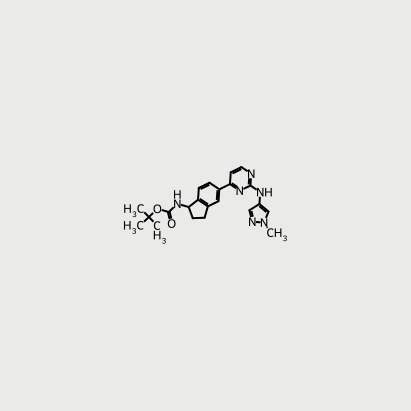 Cn1cc(Nc2nccc(-c3ccc4c(c3)CCC4NC(=O)OC(C)(C)C)n2)cn1